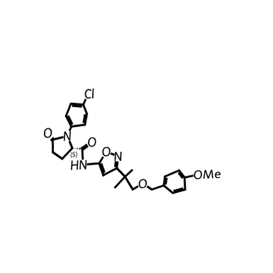 COc1ccc(COCC(C)(C)c2cc(NC(=O)[C@@H]3CCC(=O)N3c3ccc(Cl)cc3)on2)cc1